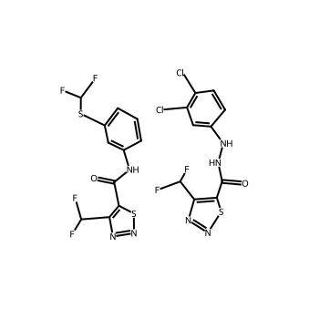 O=C(NNc1ccc(Cl)c(Cl)c1)c1snnc1C(F)F.O=C(Nc1cccc(SC(F)F)c1)c1snnc1C(F)F